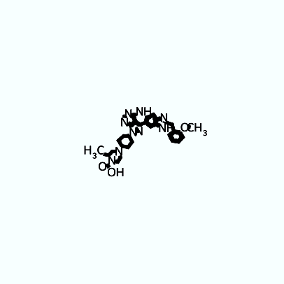 CCC1CN(C2CCC(n3nc(-c4ccc5nc(Cc6ccccc6OC)[nH]c5c4)c4c(N)ncnc43)CC2)CCN1C(=O)O